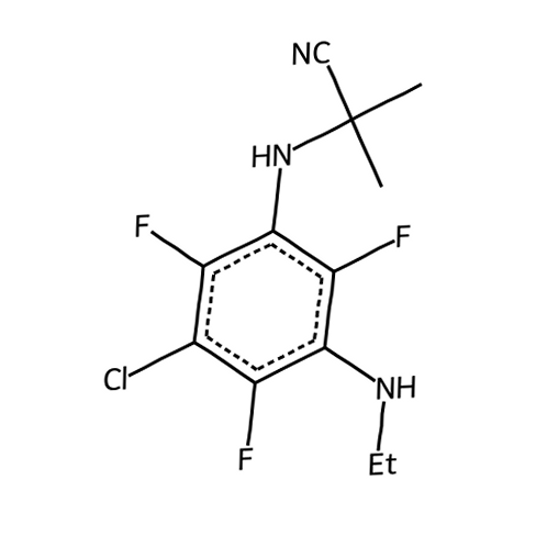 CCNc1c(F)c(Cl)c(F)c(NC(C)(C)C#N)c1F